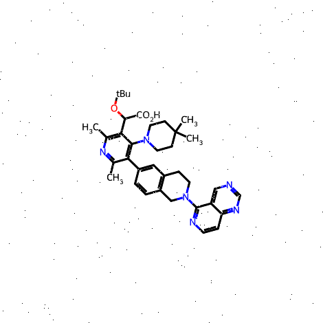 Cc1nc(C)c(C(OC(C)(C)C)C(=O)O)c(N2CCC(C)(C)CC2)c1-c1ccc2c(c1)CCN(c1nccc3ncncc13)C2